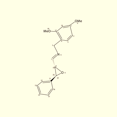 COc1ccc(CN=C[C@@H]2O[C@H]2c2ccccc2)c(OC)c1